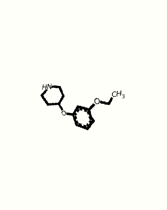 CCOc1cccc(OC2CCNCC2)c1